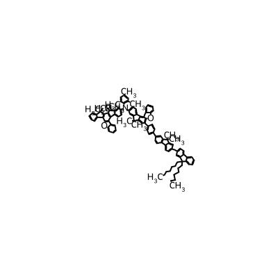 CCCCCCCC1(CCCCCCC)c2ccccc2-c2ccc(-c3ccc4c(c3)C(C)(C)c3cc(-c5ccc(-c6cc7c(c8c6oc6ccccc68)-c6ccc(N(c8ccc9c(c8)C(C)(C)c8c%10c(c%11oc%12ccccc%12c%11c8-9)-c8ccccc8C%10(C)C)c8c(C)cc(C)cc8C)cc6C7(C)C)cc5)ccc3-4)cc21